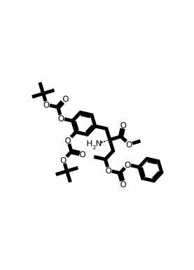 COC(=O)[C@](N)(Cc1ccc(OC(=O)OC(C)(C)C)c(OC(=O)OC(C)(C)C)c1)CC(C)OC(=O)Oc1ccccc1